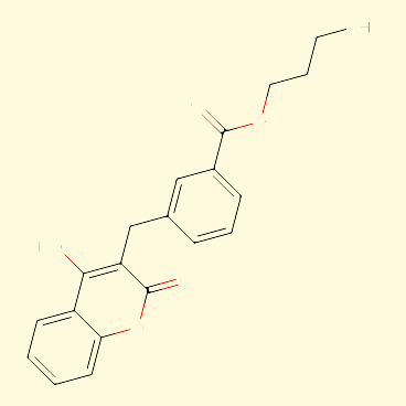 CCCCOC(=O)c1cccc(Cc2c(O)c3ccccc3oc2=O)c1